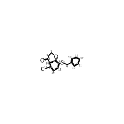 O=C1CCOc2c(SCc3ccccc3)ccc(Cl)c21